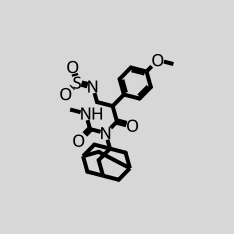 CNC(=O)N(C(=O)C(CN=S(=O)=O)c1ccc(OC)cc1)C12CC3CC(CC(C3)C1)C2